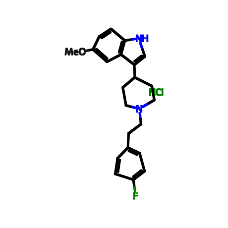 COc1ccc2[nH]cc(C3CCN(CCc4ccc(F)cc4)CC3)c2c1.Cl